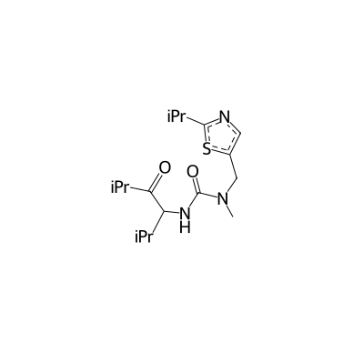 CC(C)C(=O)C(NC(=O)N(C)Cc1cnc(C(C)C)s1)C(C)C